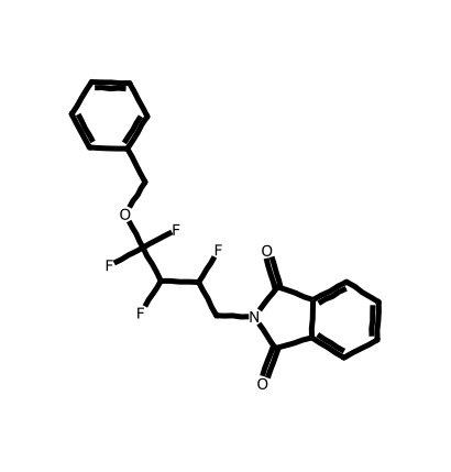 O=C1c2ccccc2C(=O)N1CC(F)C(F)C(F)(F)OCc1ccccc1